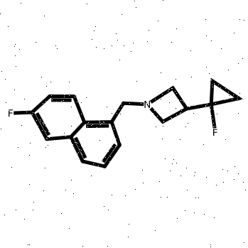 Fc1ccc2c(CN3CC(C4(F)CC4)C3)cccc2c1